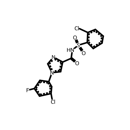 O=C(NS(=O)(=O)c1ccccc1Cl)c1cn(-c2cc(F)cc(Cl)c2)cn1